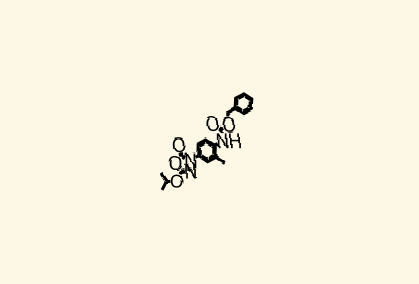 Cc1cc(-n2nc(OC(C)C)oc2=O)ccc1NC(=O)OCc1ccccc1